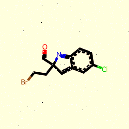 O=CC1(CCBr)C=c2cc(Cl)ccc2=N1